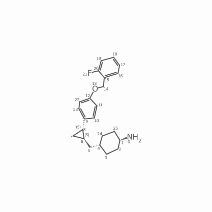 N[C@H]1CC[C@H](C[C@H]2C[C@@H]2c2ccc(OCc3ccccc3F)cc2)CC1